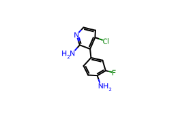 Nc1ccc(-c2c(Cl)ccnc2N)cc1F